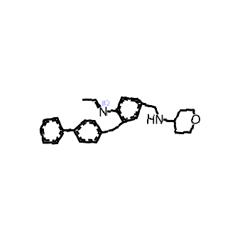 C/C=N/c1ccc(CNC2CCOCC2)cc1Cc1ccc(-c2ccccc2)cc1